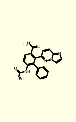 CC(C)(C)C(=O)Nc1ccc(C(N)=O)c(-c2ccc3nccn3n2)c1-c1ccccc1